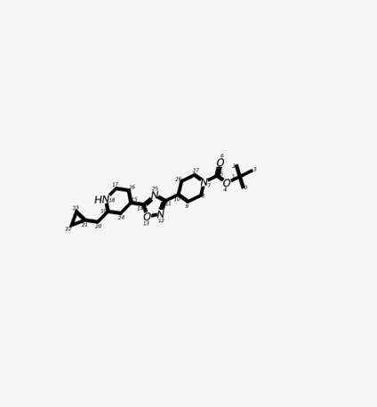 CC(C)(C)OC(=O)N1CCC(c2noc(C3CCNC(CC4CC4)C3)n2)CC1